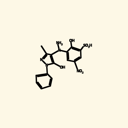 Cc1nn(-c2ccccc2)c(O)c1N(N)c1cc([N+](=O)[O-])cc(S(=O)(=O)O)c1O